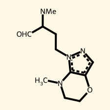 CNC(C=O)CCn1ncc2c1N(C)CCO2